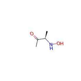 CC(=O)[C@@H](C)NO